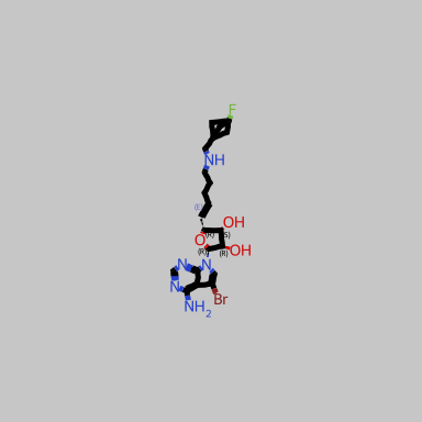 Nc1ncnc2c1c(Br)cn2[C@@H]1O[C@H](/C=C/CCCNCC23CC(F)(C2)C3)[C@@H](O)[C@H]1O